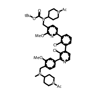 COc1cc(-c2nccc(-c3cccc(-c4ccc(CN(C(=O)OC(C)(C)C)C5CCN(C(C)=O)CC5)c(OC)n4)c3Cl)c2Cl)ccc1CN(C)C1CCN(C(C)=O)CC1